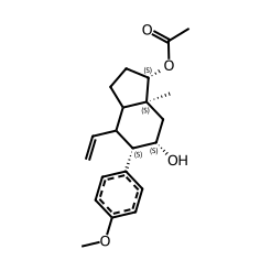 C=CC1C2CC[C@H](OC(C)=O)[C@@]2(C)C[C@H](O)[C@@H]1c1ccc(OC)cc1